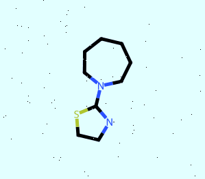 C1CCCN(C2[N]CCS2)CC1